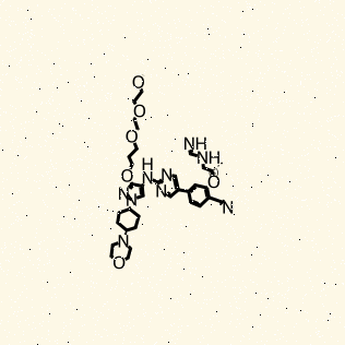 COCCOCCOCCCOc1nn([C@H]2CC[C@H](N3CCOCC3)CC2)cc1Nc1ncc(-c2ccc(C#N)c(O[C@@H](C)CNC=N)c2)cn1